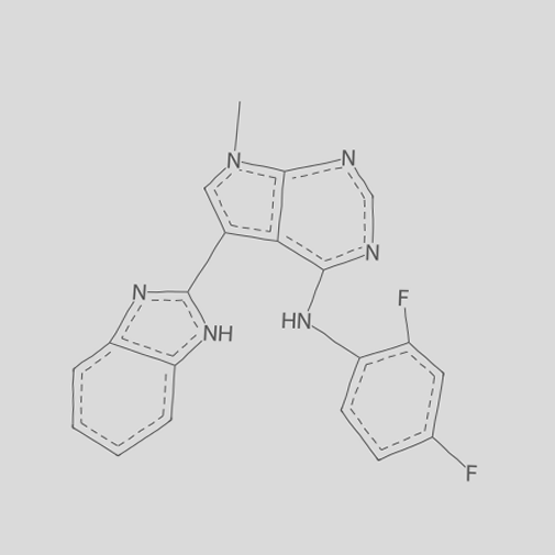 Cn1cc(-c2nc3ccccc3[nH]2)c2c(Nc3ccc(F)cc3F)ncnc21